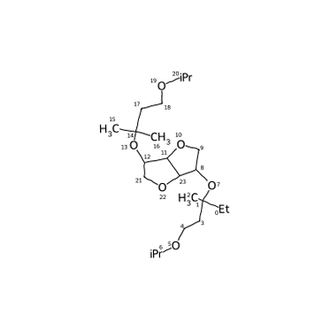 CCC(C)(CCOC(C)C)OC1COC2C(OC(C)(C)CCOC(C)C)COC12